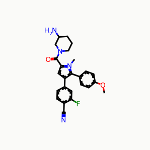 COc1ccc(-c2c(-c3ccc(C#N)c(F)c3)cc(C(=O)N3CCCC(N)C3)n2C)cc1